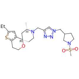 CCc1cc2c(s1)CCO[C@@]21CCN(Cc2cn(CC3CCN(S(C)(=O)=O)C3)nn2)[C@@H](C)C1